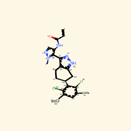 C=CC(=O)Nc1cnn(C)c1-c1n[nH]c2c1CC[C@H](c1c(Cl)c(OC)cc(OC)c1Cl)C2